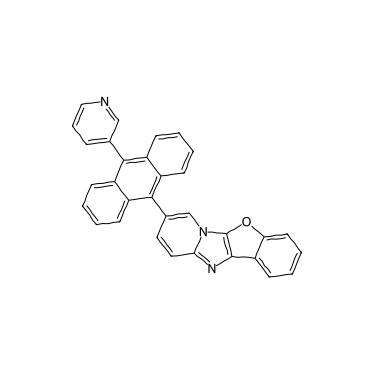 c1cncc(-c2c3ccccc3c(-c3ccc4nc5c6ccccc6oc5n4c3)c3ccccc23)c1